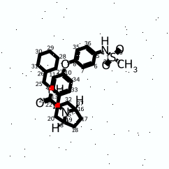 CS(=O)(=O)Nc1ccc(Oc2ccc(CN3[C@H]4CC[C@H]3CC(C(=O)NCC3CCCCC3)C4)cc2)cc1